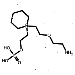 NCCOCC[N+]1(CCOP(=O)(O)O)CCCCC1